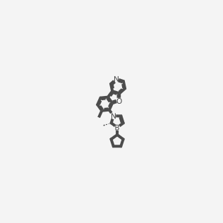 Cc1ccc2c(oc3ccncc32)c1N1C=CB(C2CCCC2)[C@@H]1C